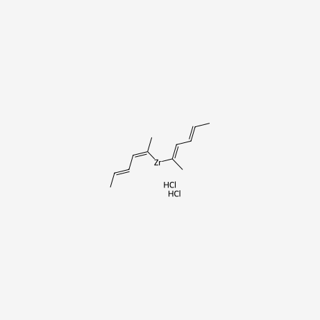 CC=CC=[C](C)[Zr][C](C)=CC=CC.Cl.Cl